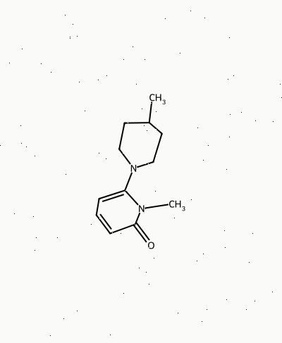 CC1CCN(c2cccc(=O)n2C)CC1